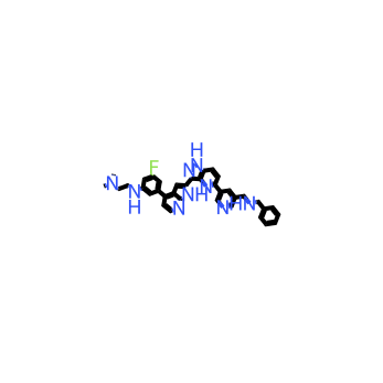 CN(C)CCNc1cc(F)cc(-c2ccnc3[nH]c(-c4n[nH]c5ccc(-c6cncc(CNCc7ccccc7)c6)nc45)cc23)c1